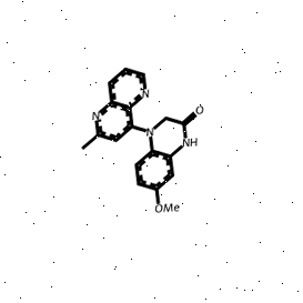 COc1ccc2c(c1)NC(=O)CN2c1cc(C)nc2cccnc12